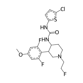 COc1cc(F)c(C2CN(CCF)CCC2NC(=O)Nc2ccc(Cl)s2)c(F)c1